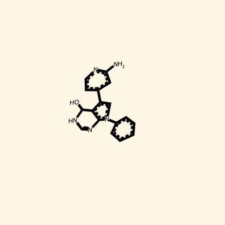 Nc1cc(-c2cn(-c3ccccc3)c3c2C(O)NC=N3)ccn1